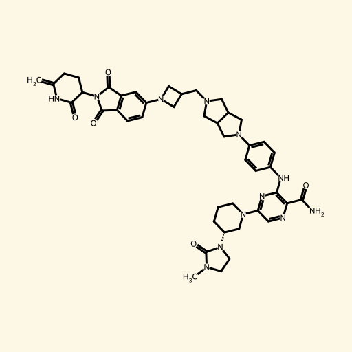 C=C1CCC(N2C(=O)c3ccc(N4CC(CN5CC6CN(c7ccc(Nc8nc(N9CCC[C@@H](N%10CCN(C)C%10=O)C9)cnc8C(N)=O)cc7)CC6C5)C4)cc3C2=O)C(=O)N1